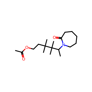 CC(=O)OCCC(C)(C)C(C)(C)C(C)N1CCCCCC1=O